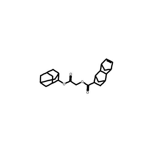 O=C(COC(=O)C1CC2CC1C1C3C=CC(C3)C21)OC1C2CC3CC(C2)CC1C3